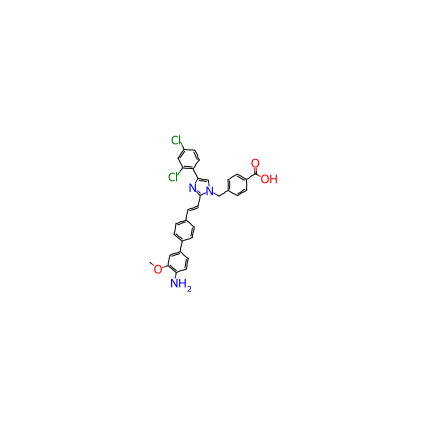 COc1cc(-c2ccc(C=Cc3nc(-c4ccc(Cl)cc4Cl)cn3Cc3ccc(C(=O)O)cc3)cc2)ccc1N